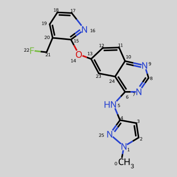 Cn1ccc(Nc2ncnc3ccc(Oc4ncccc4CF)cc23)n1